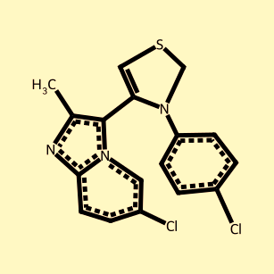 Cc1nc2ccc(Cl)cn2c1C1=CSCN1c1ccc(Cl)cc1